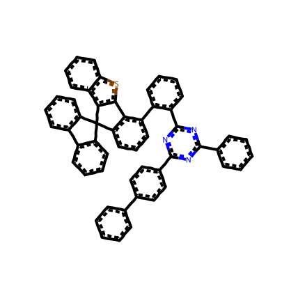 c1ccc(-c2ccc(-c3nc(-c4ccccc4)nc(-c4ccccc4-c4cccc5c4-c4sc6ccccc6c4C54c5ccccc5-c5ccccc54)n3)cc2)cc1